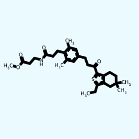 CCc1sc(C(=O)CCc2cc(C)c(CCC(=O)NCCC(=O)OC)c(C)c2)c2c1CC(C)(C)CC2